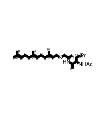 C=C(NC(C)CSC/C=C(\C)CC/C=C(\C)CCC=C(C)C)C(CC(C)C)NC(C)=O